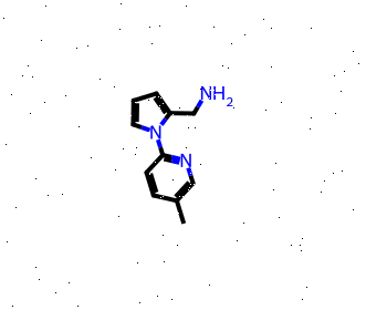 Cc1ccc(-n2cccc2CN)nc1